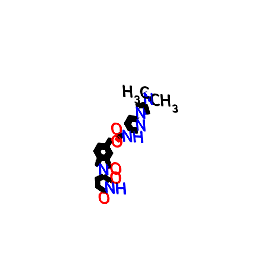 CN(C)C1CN(c2ccc(NC(=O)OCc3ccc4c(c3)C(=O)N(C3CCC(=O)NC3=O)C4)cn2)C1